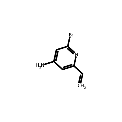 C=Cc1cc(N)cc(Br)n1